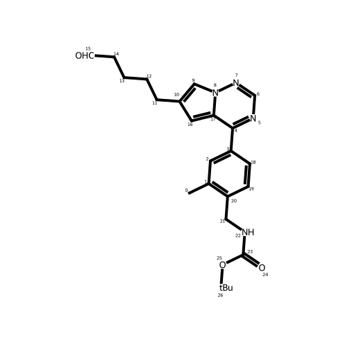 Cc1cc(-c2ncnn3cc(CCCCC=O)cc23)ccc1CNC(=O)OC(C)(C)C